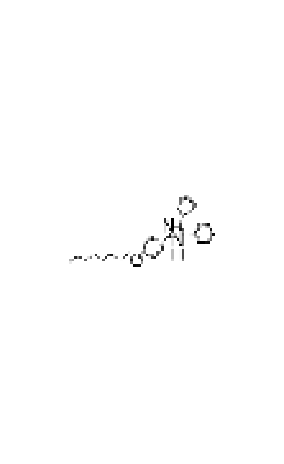 CCCCCCCCOc1ccc(-c2nc(-c3ccccc3)c(-c3ccccc3)[nH]2)cc1